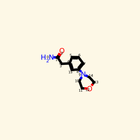 NC(=O)[CH]c1cccc(N2CCOCC2)c1